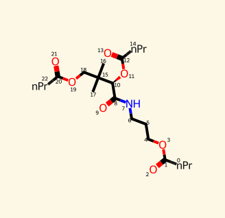 CCCC(=O)OCCCNC(=O)[C@H](OC(=O)CCC)C(C)(C)COC(=O)CCC